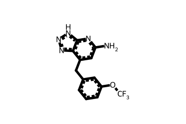 Nc1cc(Cc2cccc(OC(F)(F)F)c2)c2nn[nH]c2n1